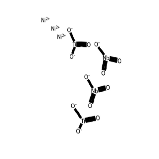 [Ni+2].[Ni+2].[Ni+2].[O]=[Nb](=[O])[O-].[O]=[Nb](=[O])[O-].[O]=[Ti]([O-])[O-].[O]=[Ti]([O-])[O-]